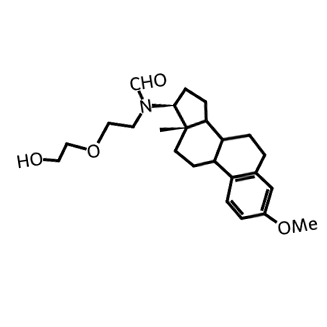 COc1ccc2c(c1)CCC1C2CC[C@@]2(C)C1CC[C@@H]2N(C=O)CCOCCO